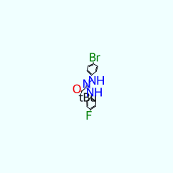 CC(C)(C)C(=O)/C(=N/Nc1ccc(Br)cc1)Nc1ccc(F)cc1